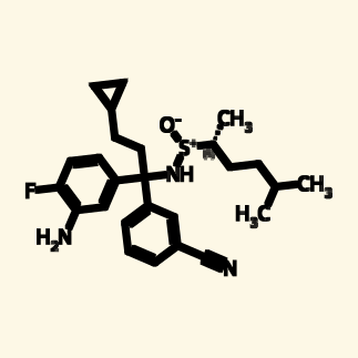 CC(C)CC[C@@H](C)[S+]([O-])NC(CCC1CC1)(c1cccc(C#N)c1)c1ccc(F)c(N)c1